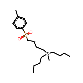 CCCC[Si](C)(CC[CH]CS(=O)(=O)c1ccc(C)cc1)CCCC